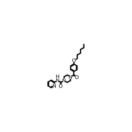 CCCCCCOc1ccc(C(=O)N2CCN(C(=O)Nc3ccccn3)CC2)cc1